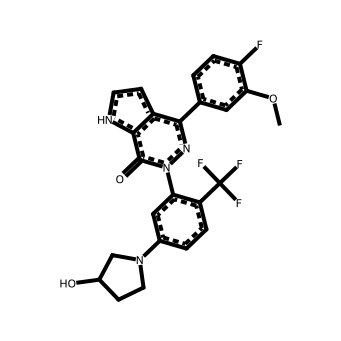 COc1cc(-c2nn(-c3cc(N4CCC(O)C4)ccc3C(F)(F)F)c(=O)c3[nH]ccc23)ccc1F